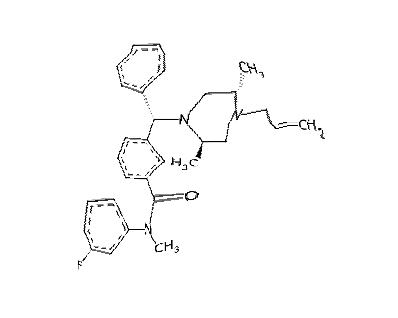 C=CCN1C[C@@H](C)N([C@@H](c2ccccc2)c2cccc(C(=O)N(C)c3cccc(F)c3)c2)C[C@@H]1C